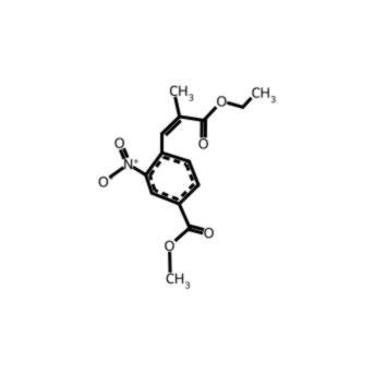 CCOC(=O)C(C)=Cc1ccc(C(=O)OC)cc1[N+](=O)[O-]